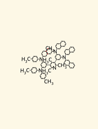 Cc1ccc(N(c2ccc(C)cc2)c2cc(-c3c(C)nc(C)c(-c4cc(N(c5ccccc5)c5ccc6ccccc6c5)cc(N(c5ccc6ccccc6c5)c5ccc6ccccc6c5)c4)c3C)cc(N(c3ccc(C)cc3)c3ccc(C)cc3)c2)cc1